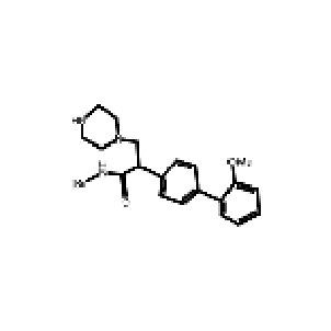 COc1ccccc1-c1ccc(C(CN2CCNCC2)C(=O)NC(C)(C)C)cc1